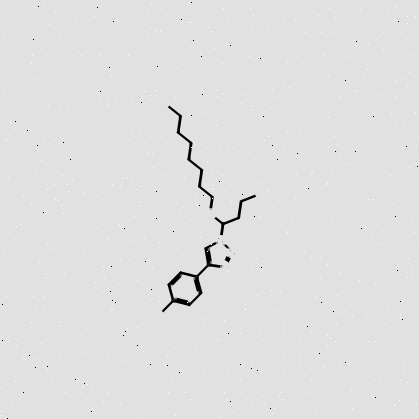 CCCCCCCCOC(CCC)n1cc(-c2ccc(C)cc2)nn1